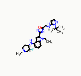 CCn1c(-c2noc(CNc3ccnn3C(C)(C)C)n2)cc2c(N[C@@H]3CCN(C)C[C@@H]3F)cccc21